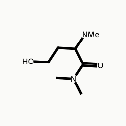 CNC(CCO)C(=O)N(C)C